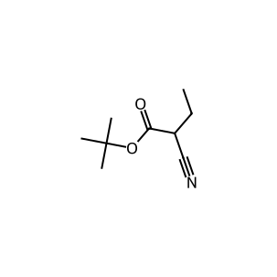 CCC(C#N)C(=O)OC(C)(C)C